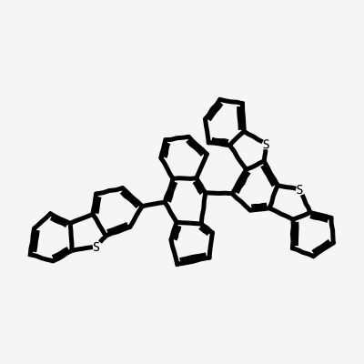 c1ccc2c(c1)sc1cc(-c3c4ccccc4c(-c4cc5c6ccccc6sc5c5sc6ccccc6c45)c4ccccc34)ccc12